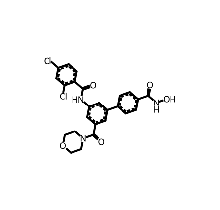 O=C(NO)c1ccc(-c2cc(NC(=O)c3ccc(Cl)cc3Cl)cc(C(=O)N3CCOCC3)c2)cc1